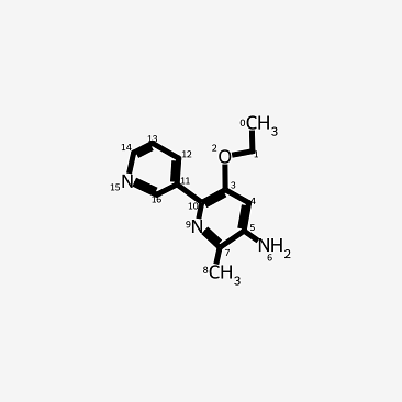 CCOc1cc(N)c(C)nc1-c1cccnc1